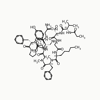 CCCCC[C@H](NC(=O)CNC(=O)[C@H](CO)NC(=O)[C@@H](NC(=O)CC)C(C)C)C(=O)N(C)[C@@H](Cc1ccccc1)C(=O)N(C)CC(=O)N[C@@H](Cc1ccc(O)cc1)C(=O)N(C)[C@@H](Cc1ccccc1)C(=O)N1CCC[C@H]1C(=O)N[C@@H](CN)C(=O)NCC(N)=O